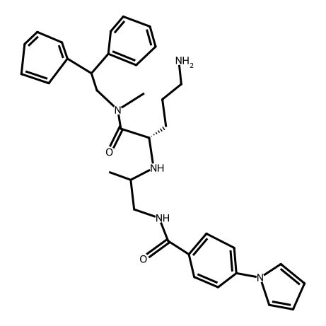 CC(CNC(=O)c1ccc(-n2cccc2)cc1)N[C@@H](CCCN)C(=O)N(C)CC(c1ccccc1)c1ccccc1